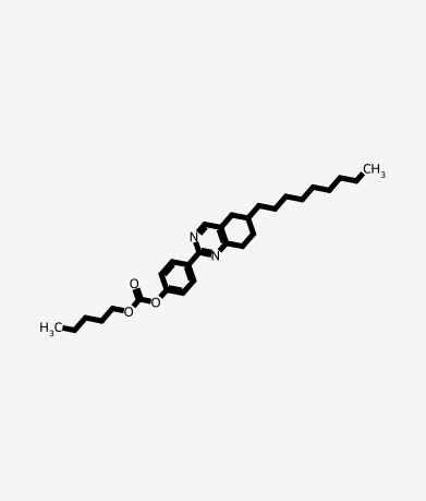 CCCCCCCCCC1CCc2nc(-c3ccc(OC(=O)OCCCCC)cc3)ncc2C1